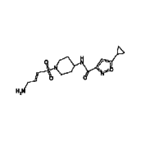 NCC=CS(=O)(=O)N1CCC(NC(=O)c2cc(C3CC3)on2)CC1